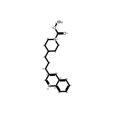 CC(C)(C)OC(=O)N1CCC(CCCc2cnc3ccccc3c2)CC1